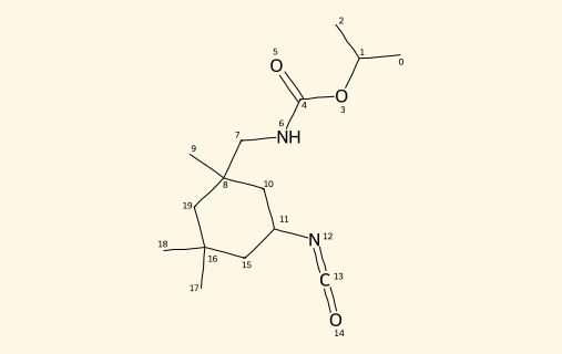 CC(C)OC(=O)NCC1(C)CC(N=C=O)CC(C)(C)C1